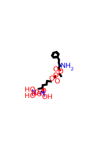 CC(OC(=O)OCCCCC(CON(O)O)ON(O)O)OC(=O)C(N)CCc1ccccc1